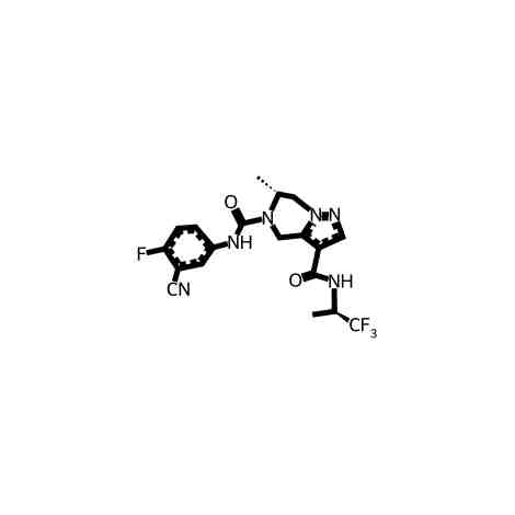 C[C@@H]1Cn2ncc(C(=O)N[C@H](C)C(F)(F)F)c2CN1C(=O)Nc1ccc(F)c(C#N)c1